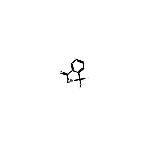 O=C(Br)c1ccccc1C(F)(F)Br